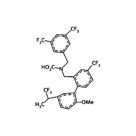 COc1ccc(C(C)C(F)(F)F)cc1-c1ccc(C(F)(F)F)cc1CN(Cc1cc(C(F)(F)F)cc(C(F)(F)F)c1)C(=O)O